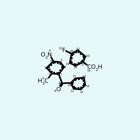 Cc1cc([N+](=O)[O-])ccc1C(=O)c1ccccc1.O=C(O)c1ccc(F)cc1